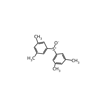 Cc1cc(C)cc([S+]([O-])c2cc(C)cc(C)c2)c1